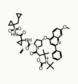 C=C[C@@H]1CC1(NC(=O)[C@@H]1C[C@@H](Oc2cc(-c3ccccc3)nc3cc(OC)ccc23)CN1C(=O)[C@@H](OC(=O)NC(C)(C)C)C(C)(C)C)C(=O)NS(=O)(=O)C1(CC2CC2)CC1